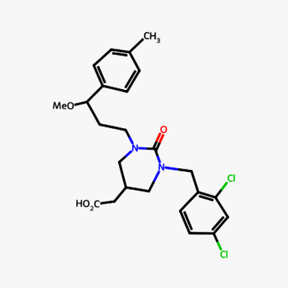 COC(CCN1CC(CC(=O)O)CN(Cc2ccc(Cl)cc2Cl)C1=O)c1ccc(C)cc1